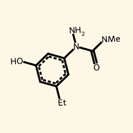 CCc1cc(O)cc(N(N)C(=O)NC)c1